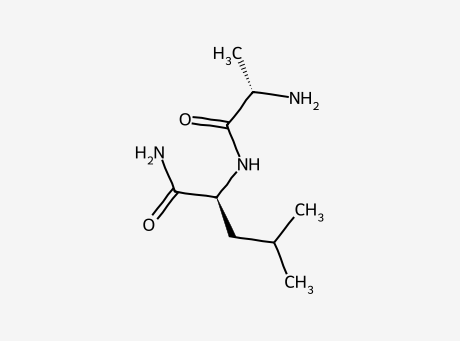 CC(C)C[C@H](NC(=O)[C@H](C)N)C(N)=O